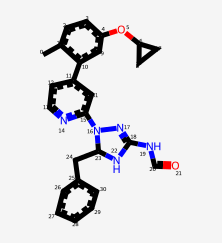 Cc1ccc(OC2CC2)cc1-c1ccnc(N2N=C(NC=O)NC2Cc2ccccc2)c1